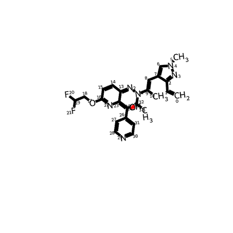 C=Cc1nn(C)cc1/C=C(\C)N(/N=C1/C=CC(OCC(F)F)=N/C1=C(/C)c1ccncc1)C(C)=O